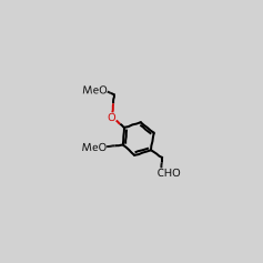 COCOc1ccc(CC=O)cc1OC